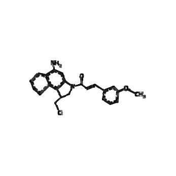 COc1cccc(C=CC(=O)N2CC(CCl)c3c2cc(N)c2ccccc32)c1